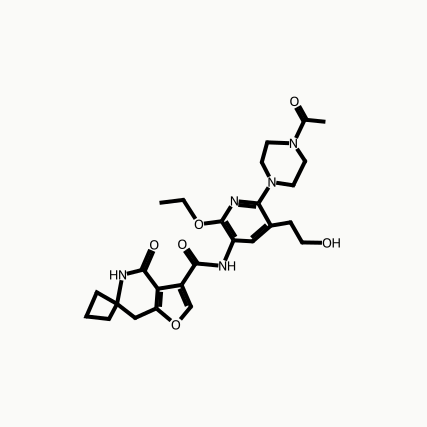 CCOc1nc(N2CCN(C(C)=O)CC2)c(CCO)cc1NC(=O)c1coc2c1C(=O)NC1(CCC1)C2